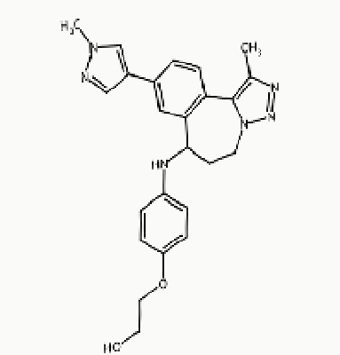 Cc1nnn2c1-c1ccc(-c3cnn(C)c3)cc1C(Nc1ccc(OCCO)cc1)CC2